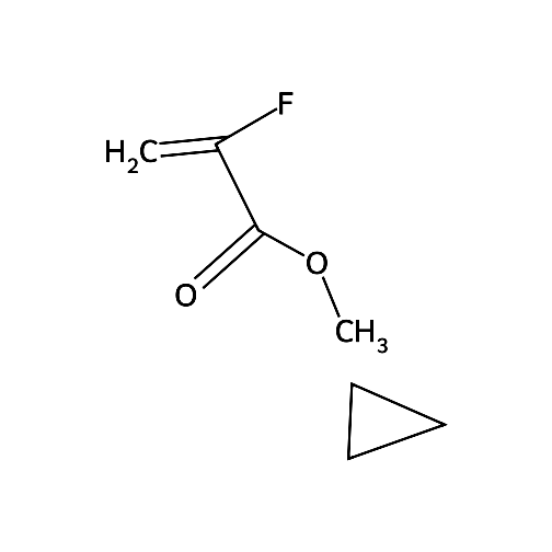 C1CC1.C=C(F)C(=O)OC